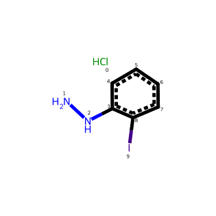 Cl.NNc1ccccc1I